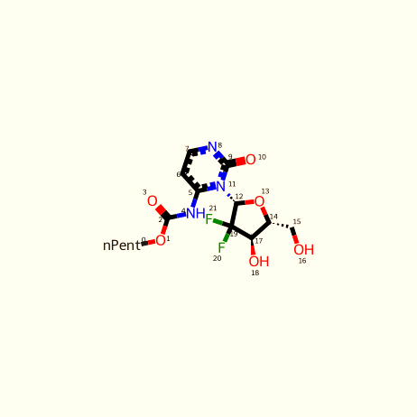 CCCCCOC(=O)Nc1ccnc(=O)n1[C@@H]1O[C@H](CO)[C@@H](O)C1(F)F